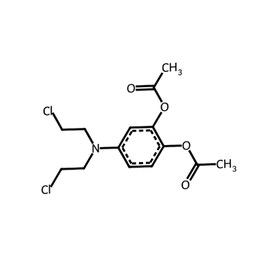 CC(=O)Oc1ccc(N(CCCl)CCCl)cc1OC(C)=O